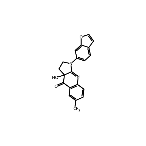 O=C1c2cc(C(F)(F)F)ccc2N=C2N(c3ccc4ccoc4c3)CCC12O